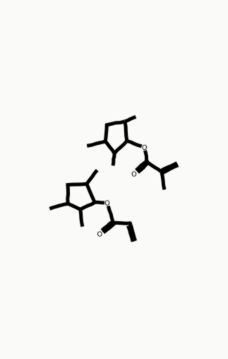 C=C(C)C(=O)OC1C(C)CC(C)C1C.C=CC(=O)OC1C(C)CC(C)C1C